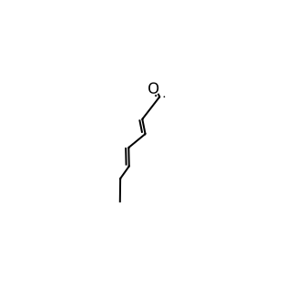 CCC=CC=C[C]=O